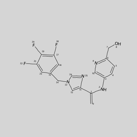 C=C(Nc1ccc(CO)nc1)c1cn(Cc2cc(F)c(F)c(F)c2)cn1